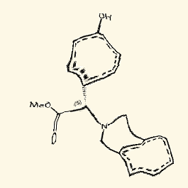 COC(=O)[C@H](c1ccc(O)cc1)N1Cc2ccccc2C1